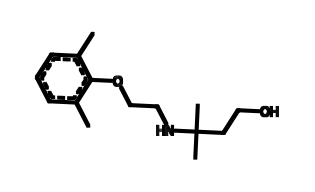 Cc1cccc(C)c1OCCNC(C)(C)CCO